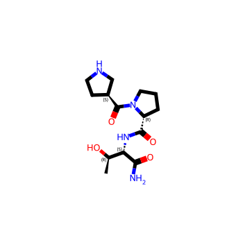 C[C@@H](O)[C@H](NC(=O)[C@H]1CCCN1C(=O)[C@H]1CCNC1)C(N)=O